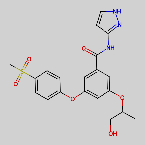 CC(CO)Oc1cc(Oc2ccc(S(C)(=O)=O)cc2)cc(C(=O)Nc2cc[nH]n2)c1